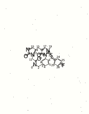 CN(Cc1ccccc1)C(=O)Cn1cc(Cc2cn(C)c(SCc3ccc(F)cc3)nc2=O)cnc1=O